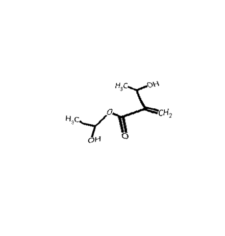 C=C(C(=O)OC(C)O)C(C)O